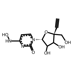 C#C[C@]1(CO)O[C@@H](n2ccc(NO)nc2=O)C(O)C1O